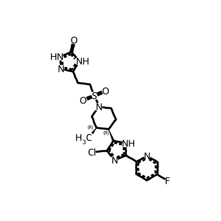 C[C@H]1CN(S(=O)(=O)CCc2n[nH]c(=O)[nH]2)CC[C@H]1c1[nH]c(-c2ccc(F)cn2)nc1Cl